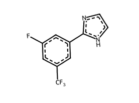 Fc1cc(-c2ncc[nH]2)cc(C(F)(F)F)c1